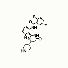 O=C(Nc1cccc2nn3c(C4CCNCC4)cc(=O)[nH]c3c12)c1cc(F)ccc1F